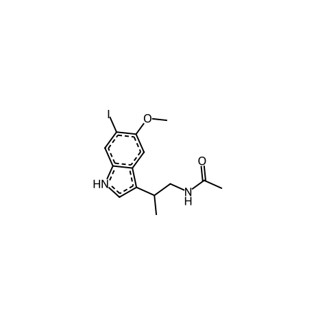 COc1cc2c(C(C)CNC(C)=O)c[nH]c2cc1I